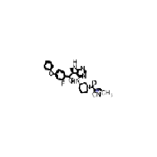 C/C=C(\C#N)C(=O)N1CCCC(Nc2ncnc3[nH]cc(C(=O)c4ccc(Oc5ccccc5)cc4F)c23)C1